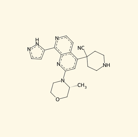 C[C@@H]1COCCN1c1cc(C2(C#N)CCNCC2)c2ccnc(-c3ccn[nH]3)c2n1